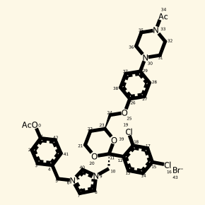 CC(=O)Oc1ccc(C[n+]2ccn(C[C@]3(c4ccc(Cl)cc4Cl)OCC[C@@H](COc4ccc(N5CCN(C(C)=O)CC5)cc4)O3)c2)cc1.[Br-]